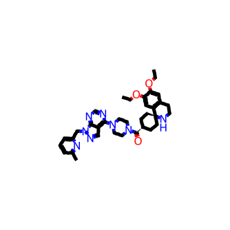 CCOc1cc2c(cc1OCC)[C@]1(CC[C@@H](C(=O)N3CCN(c4ncnc5c4cnn5Cc4cccc(C)n4)CC3)CC1)NCC2